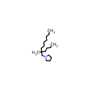 CCCCCCCC(C)(CCCC)CN1CCCC1